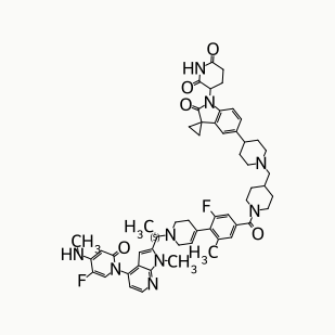 CNc1cc(=O)n(-c2ccnc3c2cc([C@H](C)N2CC=C(c4c(C)cc(C(=O)N5CCC(CN6CCC(c7ccc8c(c7)C7(CC7)C(=O)N8C7CCC(=O)NC7=O)CC6)CC5)cc4F)CC2)n3C)cc1F